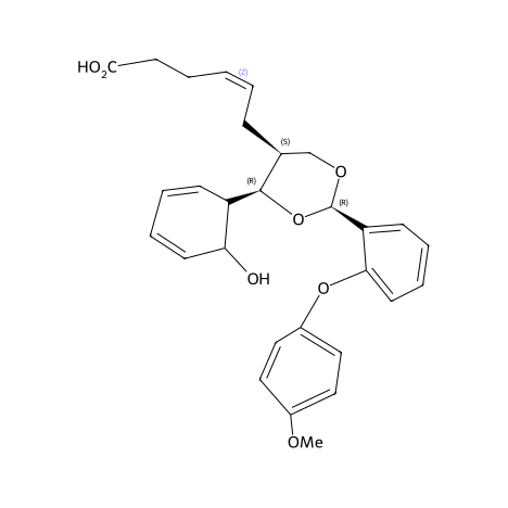 COc1ccc(Oc2ccccc2[C@@H]2OC[C@H](C/C=C\CCC(=O)O)[C@H](C3C=CC=CC3O)O2)cc1